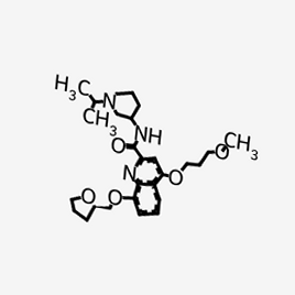 COCCCOc1cc(C(=O)NC2CCCN(C(C)C)C2)nc2c(OC[C@H]3CCCO3)cccc12